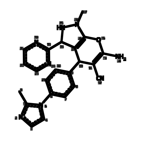 Cc1nccn1-c1ccc(C2C(C#N)=C(N)OC3=C2C(c2ncccn2)NN3C)cc1